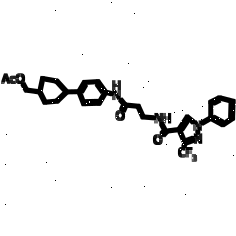 CC(=O)OCC1CCC(c2ccc(NC(=O)CCNC(=O)c3cn(-c4ccccc4)nc3C(F)(F)F)cc2)CC1